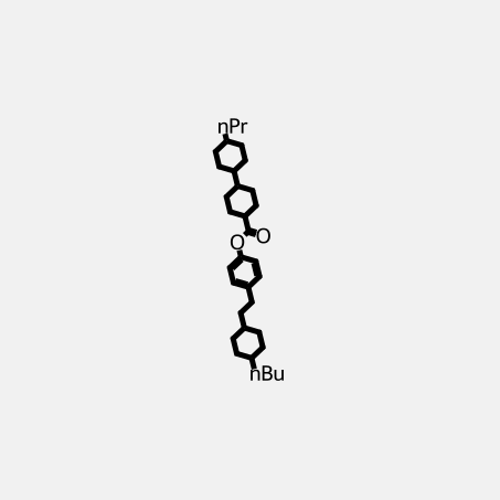 CCCCC1CCC(CCc2ccc(OC(=O)C3CCC(C4CCC(CCC)CC4)CC3)cc2)CC1